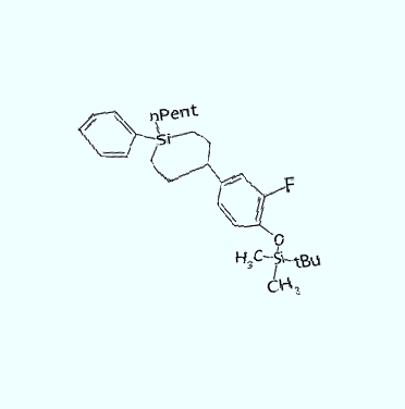 CCCCC[Si]1(c2ccccc2)CCC(c2ccc(O[Si](C)(C)C(C)(C)C)c(F)c2)CC1